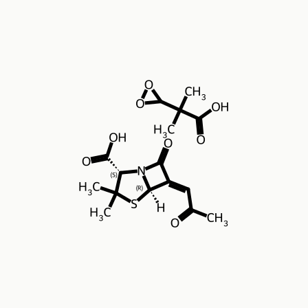 CC(=O)C=C1C(=O)N2[C@@H]1SC(C)(C)[C@@H]2C(=O)O.CC(C)(C(=O)O)C1OO1